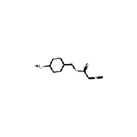 C=C=CC(=O)NCC1CCC(C(=O)O)CC1